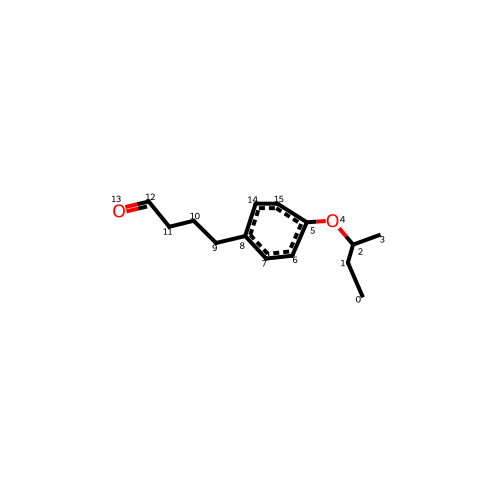 CCC(C)Oc1ccc(CCCC=O)cc1